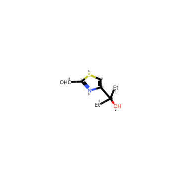 CCC(O)(CC)c1csc(C=O)n1